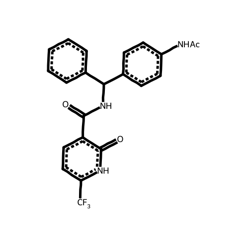 CC(=O)Nc1ccc(C(NC(=O)c2ccc(C(F)(F)F)[nH]c2=O)c2ccccc2)cc1